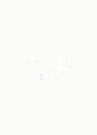 C=C1Cc2cc(Nc3nc(Cl)ccc3C)ccc2N1